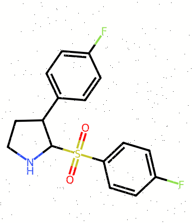 O=S(=O)(c1ccc(F)cc1)C1NCCC1c1ccc(F)cc1